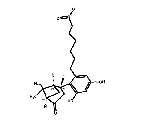 CC1(C)[C@@H]2C[C@H]1C(=O)C[C@H]2c1c(O)cc(O)cc1CCCCCO[N+](=O)[O-]